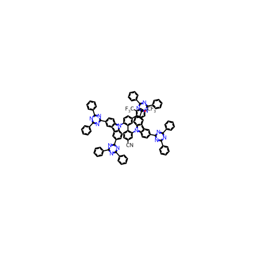 N#Cc1ccc(-c2cc(-c3ccc(C(F)(F)F)cc3C(F)(F)F)ccc2-n2c3ccc(-c4nc(-c5ccccc5)nc(-c5ccccc5)n4)cc3c3cc(-c4nc(-c5ccccc5)nc(-c5ccccc5)n4)ccc32)c(-n2c3ccc(-c4nc(-c5ccccc5)nc(-c5ccccc5)n4)cc3c3cc(-c4nc(-c5ccccc5)nc(-c5ccccc5)n4)ccc32)c1